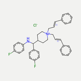 Fc1ccc(NC(c2ccc(F)cc2)C2CC[N+](C/C=C/c3ccccc3)(C/C=C/c3ccccc3)CC2)cc1.[Cl-]